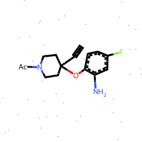 C#CC1(Oc2ccc(F)cc2N)CCN(C(C)=O)CC1